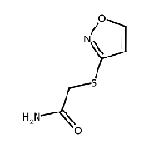 NC(=O)CSc1ccon1